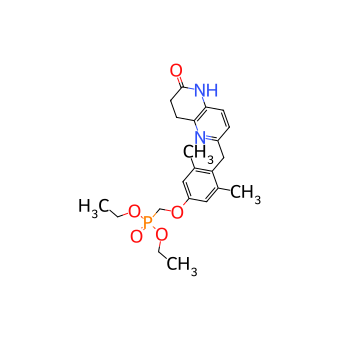 CCOP(=O)(COc1cc(C)c(Cc2ccc3c(n2)CCC(=O)N3)c(C)c1)OCC